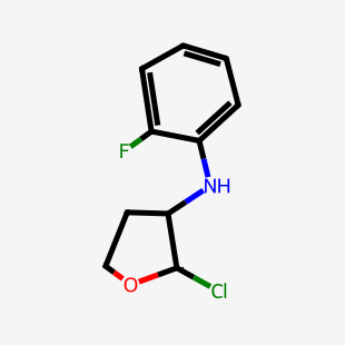 Fc1ccccc1NC1CCO[C]1Cl